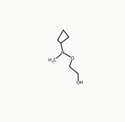 CN(OCCO)C1CCC1